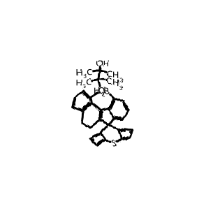 Bc1cccc2c1C1=C(CCc3cccc(OC(C)(C)C(C)(C)O)c31)C21c2ccccc2Sc2ccccc21